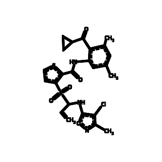 C=CC(Nc1onc(C)c1Cl)S(=O)(=O)c1ccsc1C(=O)Nc1cc(C)cc(C)c1C(=O)C1CC1